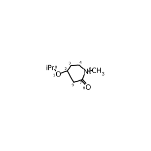 CC(C)OC1CCN(C)C(=O)C1